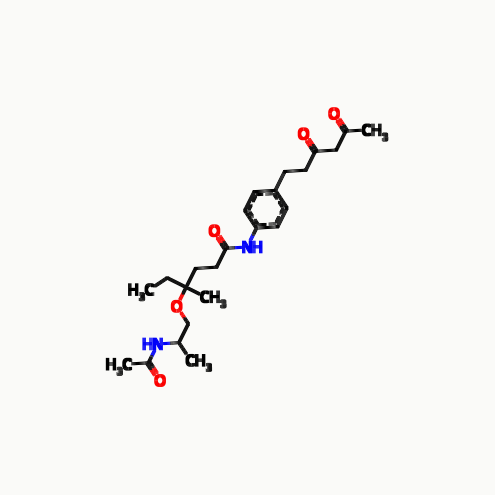 CCC(C)(CCC(=O)Nc1ccc(CCC(=O)CC(C)=O)cc1)OCC(C)NC(C)=O